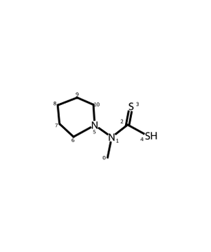 CN(C(=S)S)N1CCCCC1